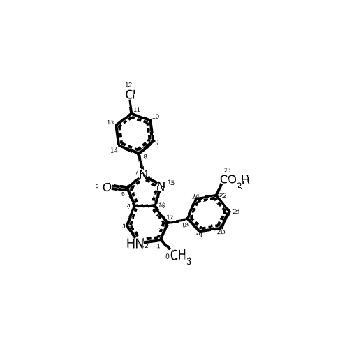 Cc1[nH]cc2c(=O)n(-c3ccc(Cl)cc3)nc-2c1-c1cccc(C(=O)O)c1